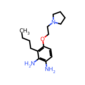 CCCCc1c(OCCN2CCCC2)ccc(N)c1N